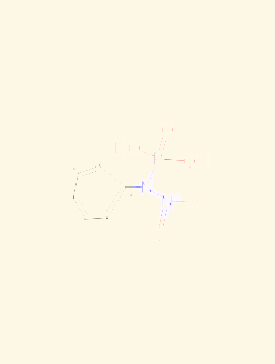 O=[N+]([O-])N(c1ccccc1)P(=O)(O)O